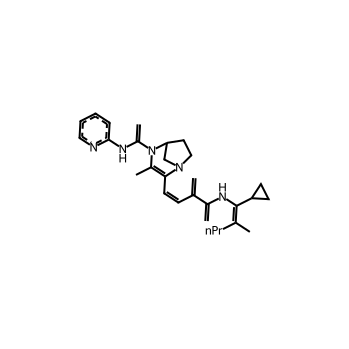 C=C(/C=C\C1=C(C)N(C(=C)Nc2ccccn2)C2CCN1C2)C(=C)N/C(=C(/C)CCC)C1CC1